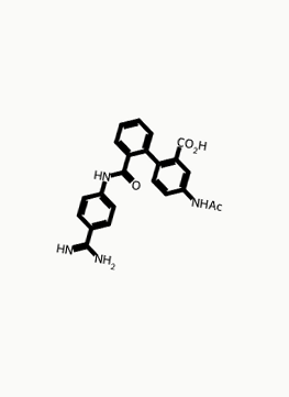 CC(=O)Nc1ccc(-c2ccccc2C(=O)Nc2ccc(C(=N)N)cc2)c(C(=O)O)c1